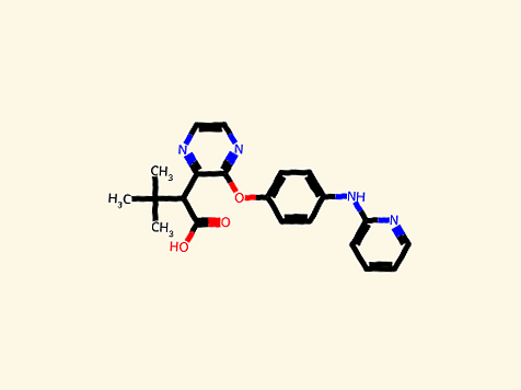 CC(C)(C)C(C(=O)O)c1nccnc1Oc1ccc(Nc2ccccn2)cc1